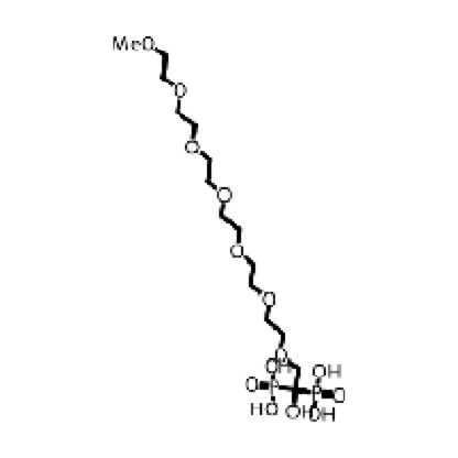 COCCOCCOCCOCCOCCOCCOCC(O)(P(=O)(O)O)P(=O)(O)O